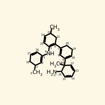 CC1C=C(NC2=C(C3=CC(C4(C)C=CC=CC4N)=CCC3)CC(C)C=C2)C=CC1